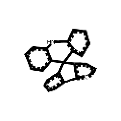 c1ccc2c(c1)Nc1ccccc1C21c2ccccc2-c2ccccc21